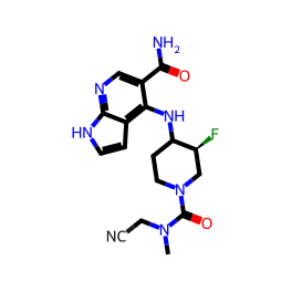 CN(CC#N)C(=O)N1CCC(Nc2c(C(N)=O)cnc3[nH]ccc23)[C@@H](F)C1